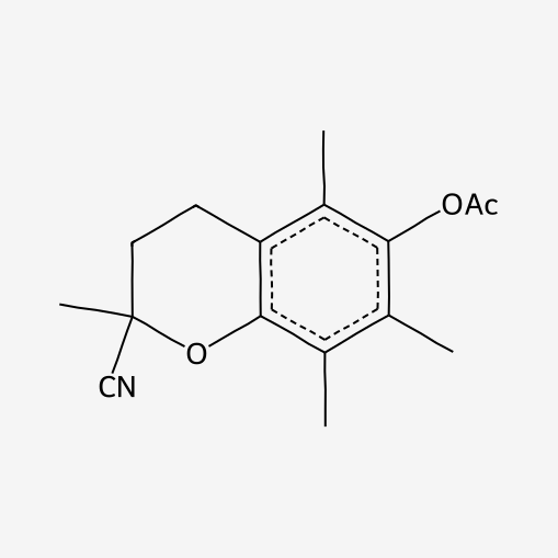 CC(=O)Oc1c(C)c(C)c2c(c1C)CCC(C)(C#N)O2